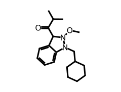 CON1C(C(=O)C(C)C)c2ccccc2N1CC1CCCCC1